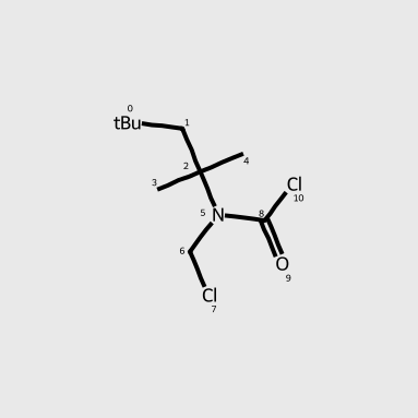 CC(C)(C)CC(C)(C)N(CCl)C(=O)Cl